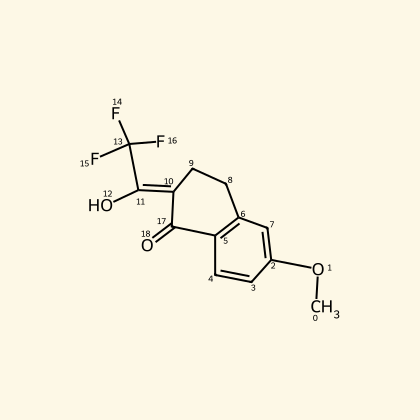 COc1ccc2c(c1)CCC(=C(O)C(F)(F)F)C2=O